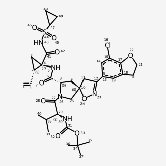 C=C[C@@H]1C[C@]1(NC(=O)[C@@H]1C[C@]2(CC(c3cc(Cl)c4c(c3)CCO4)=NO2)CN1C(=O)[C@@H](NC(=O)OC(C)(C)C)C(C)C)C(=O)NS(=O)(=O)C1CC1